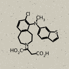 CN(c1ccc2ccsc2c1)c1c(Cl)ccc2c1CCNCC2.O=C(O)CCC(=O)O